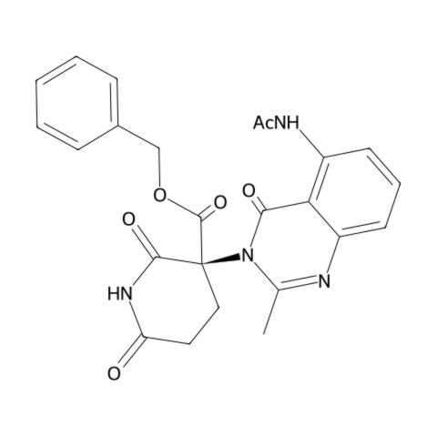 CC(=O)Nc1cccc2nc(C)n([C@@]3(C(=O)OCc4ccccc4)CCC(=O)NC3=O)c(=O)c12